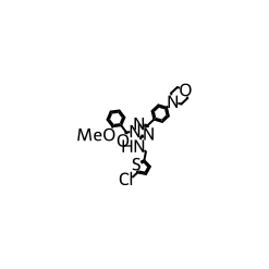 COc1ccccc1C(=O)n1nc(-c2ccc(N3CCOCC3)cc2)nc1NCc1ccc(Cl)s1